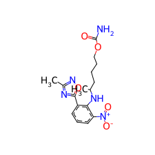 Cc1noc(-c2cccc([N+](=O)[O-])c2NC(C)CCCCOC(N)=O)n1